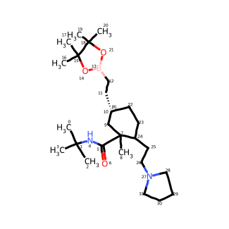 CC(C)(C)NC(=O)C1(C)C[C@H](CCB2OC(C)(C)C(C)(C)O2)CCC1CCN1CCCC1